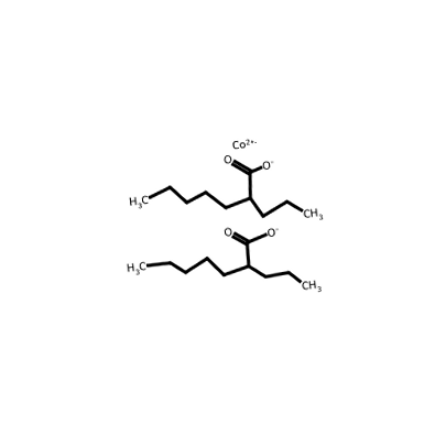 CCCCCC(CCC)C(=O)[O-].CCCCCC(CCC)C(=O)[O-].[Co+2]